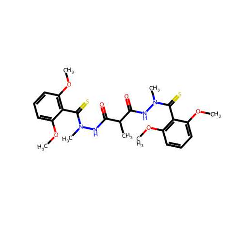 COc1cccc(OC)c1C(=S)N(C)NC(=O)C(C)C(=O)NN(C)C(=S)c1c(OC)cccc1OC